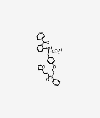 O=C(c1ccccc1)c1ccccc1N[C@@H](Cc1ccc(OCCN(C(=O)/C=C/c2ccco2)c2ccccc2)cc1)C(=O)O